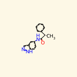 C[C@H](C(=O)Nc1ccc2[nH]ncc2c1)c1ccccc1